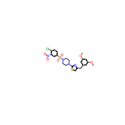 COc1cc(Cc2csc(N3CCN(S(=O)(=O)c4ccc(Cl)c([N+](=O)[O-])c4)CC3)n2)cc(OC)c1